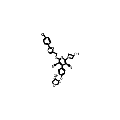 N#Cc1c(SCc2csc(-c3ccc(Cl)cc3)n2)nc(N2CC(O)C2)c(C#N)c1-c1ccc(O[C@H]2COC[C@@H]2O)cc1